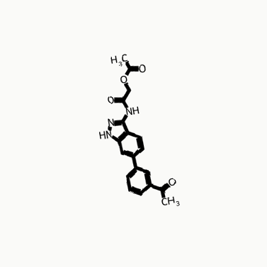 CC(=O)OCC(=O)Nc1n[nH]c2cc(-c3cccc(C(C)=O)c3)ccc12